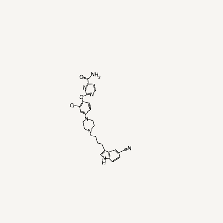 N#Cc1ccc2[nH]cc(CCCCN3CCN(c4ccc(Oc5nccc(C(N)=O)n5)c(Cl)c4)CC3)c2c1